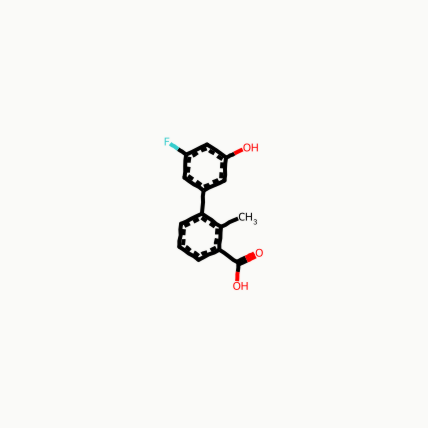 Cc1c(C(=O)O)cccc1-c1cc(O)cc(F)c1